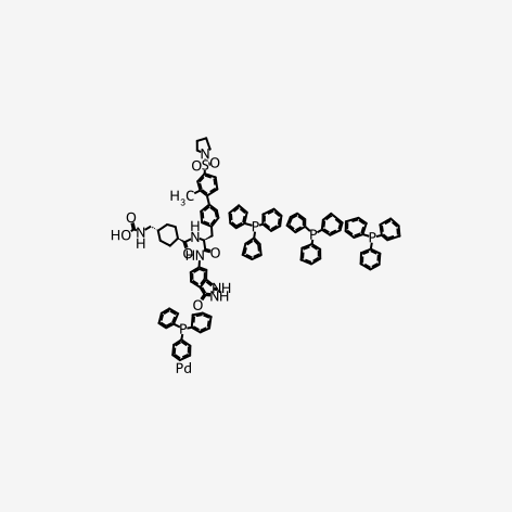 Cc1cc(S(=O)(=O)N2CCCC2)ccc1-c1ccc(C[C@H](NC(=O)[C@H]2CC[C@H](CNC(=O)O)CC2)C(=O)Nc2ccc3c(=O)[nH][nH]c3c2)cc1.[Pd].c1ccc(P(c2ccccc2)c2ccccc2)cc1.c1ccc(P(c2ccccc2)c2ccccc2)cc1.c1ccc(P(c2ccccc2)c2ccccc2)cc1.c1ccc(P(c2ccccc2)c2ccccc2)cc1